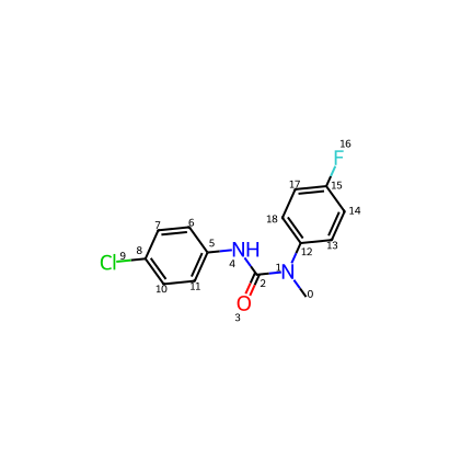 CN(C(=O)Nc1ccc(Cl)cc1)c1ccc(F)cc1